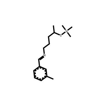 Cc1cccc(C=NCCCC(C)S[Si](C)(C)C)c1